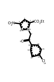 CCOC(=O)c1cc([N+](=O)[O-])nn1CC(=O)c1ccc(Cl)cc1